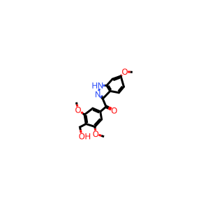 COc1ccc2c(C(=O)c3cc(OC)c(CO)c(OC)c3)n[nH]c2c1